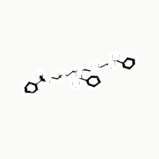 O=C(OCCOCCN(CCOCCOC(=O)c1ccccc1)C(=O)c1ccccc1)c1ccccc1